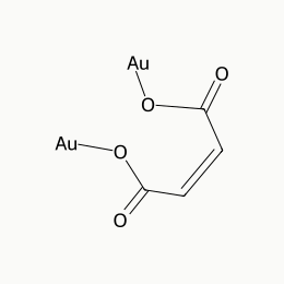 O=C(/C=C\C(=O)[O][Au])[O][Au]